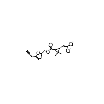 C#CCc1ccc(COC(=O)C2C(C=C(Cl)Cl)C2(C)C)o1